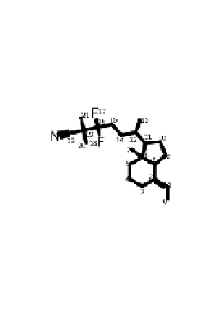 C/C=C1\CCCC2(C)C1CCC2C(C)CCC(F)(F)C(C)(C)C#N